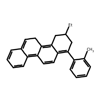 CCC1CC(c2ccccc2C)=c2ccc3c(c2C1)CC=c1ccccc1=3